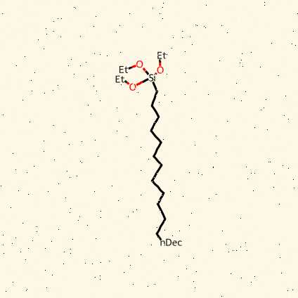 CCCCCCCCCCCCCCCCCCCCCC[Si](OCC)(OCC)OCC